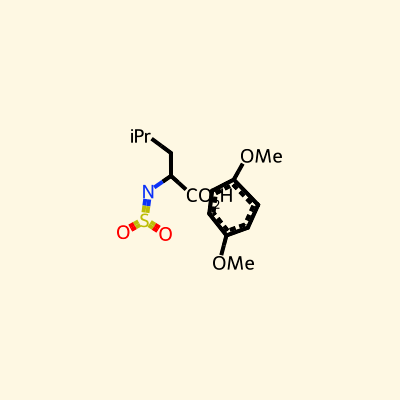 CC(C)CC(N=S(=O)=O)C(=O)O.COc1ccc(OC)cc1